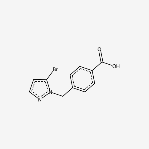 O=C(O)c1ccc(Cn2nccc2Br)cc1